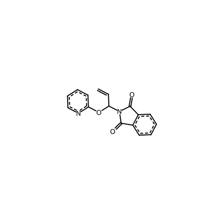 C=CC(Oc1ccccn1)N1C(=O)c2ccccc2C1=O